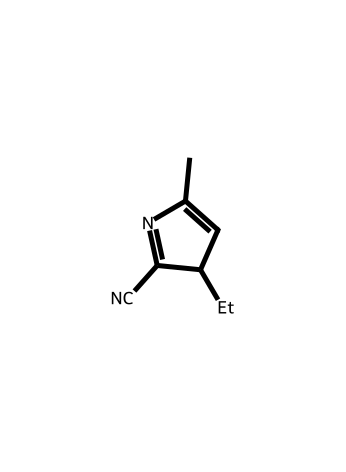 CCC1C=C(C)N=C1C#N